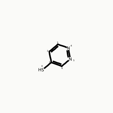 Sc1ccnnc1